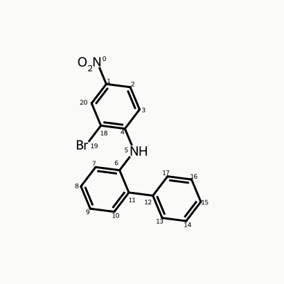 O=[N+]([O-])c1ccc(Nc2ccccc2-c2ccccc2)c(Br)c1